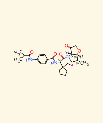 CC(C)C(=O)Nc1ccc(C(=O)N[C@H](C(=O)N2C[C@H](C)[C@H]3OCC(=O)[C@H]32)C2(CI)CCCC2)cc1